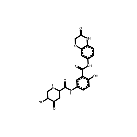 N#CC1CNC(C(=O)Nc2ccc(O)c(C(=O)Nc3ccc4c(c3)OCC(=O)N4)c2)CC1=O